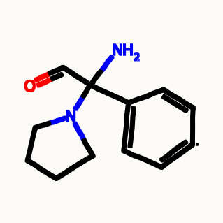 NC(C=O)(c1cc[c]cc1)N1CCCC1